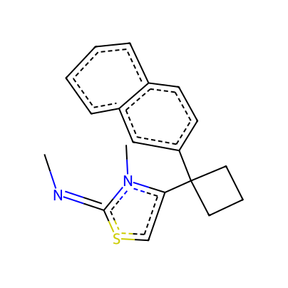 C/N=c1/scc(C2(c3ccc4ccccc4c3)CCC2)n1C